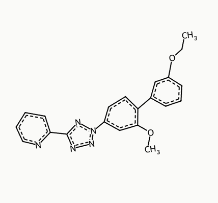 CCOc1cccc(-c2ccc(-n3nnc(-c4ccccn4)n3)cc2OC)c1